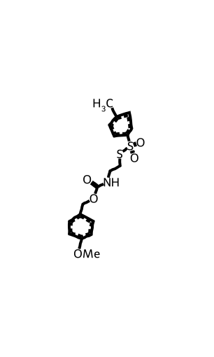 COc1ccc(COC(=O)NCCSS(=O)(=O)c2ccc(C)cc2)cc1